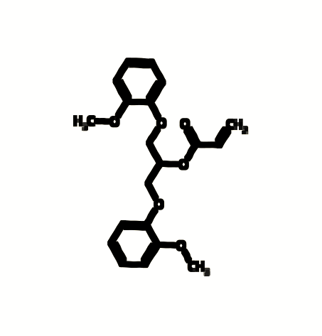 C=CC(=O)OC(COc1ccccc1OC)COc1ccccc1OC